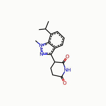 CC(C)c1cccc2c(C3CCC(=O)NC3=O)nn(C)c12